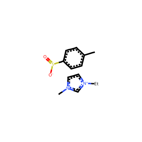 CC[n+]1ccn(C)c1.Cc1ccc(S(=O)[O-])cc1